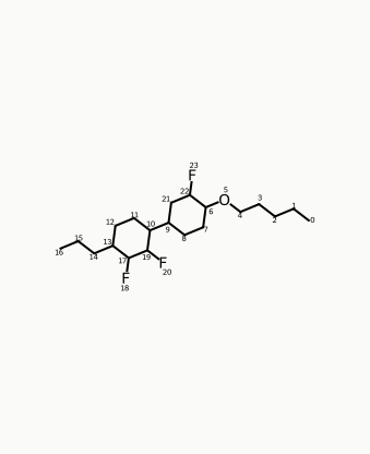 CCCCCOC1CCC(C2CCC(CCC)C(F)C2F)CC1F